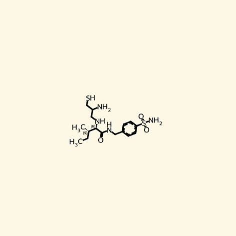 CC[C@H](C)[C@@H](NCC(N)CS)C(=O)NCc1ccc(S(N)(=O)=O)cc1